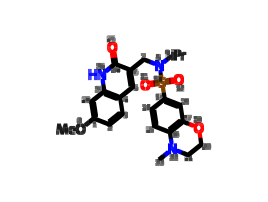 COc1ccc2cc(CN(C(C)C)S(=O)(=O)c3ccc4c(c3)OCCN4C)c(=O)[nH]c2c1